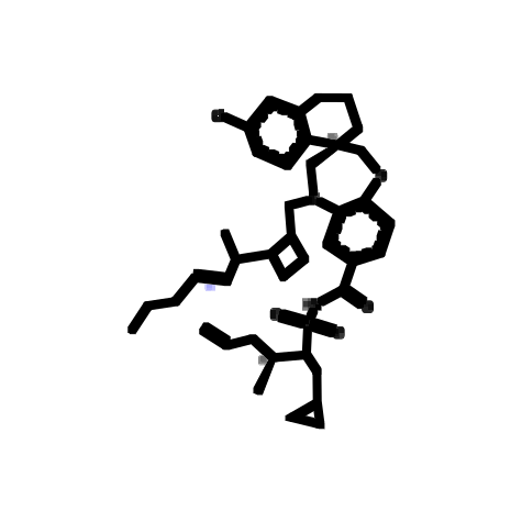 C=CC[C@H](C)C(CC1CC1)S(=O)(=O)NC(=O)c1ccc2c(c1)N(CC1CCC1C(C)/C=C/CCC)C[C@@]1(CCCc3cc(Cl)ccc31)CO2